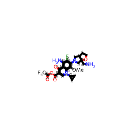 COc1c(N2CC3CCOC3(CN)C2)c(F)c(N)c2c(=O)c(C(=O)OC(=O)C(F)(F)F)cn(C3CC3)c12